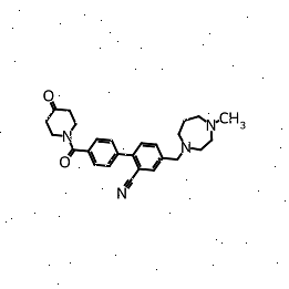 CN1CCCN(Cc2ccc(-c3ccc(C(=O)N4CCC(=O)CC4)cc3)c(C#N)c2)CC1